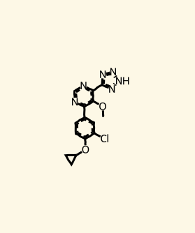 COc1c(-c2ccc(OC3CC3)c(Cl)c2)ncnc1-c1nn[nH]n1